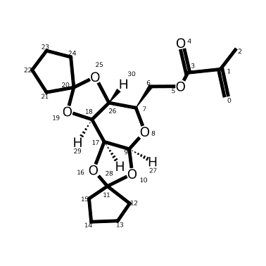 C=C(C)C(=O)OC[C@H]1O[C@H]2OC3(CCCC3)O[C@H]2[C@H]2OC3(CCCC3)O[C@@H]21